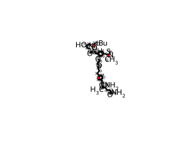 Cc1ncsc1-c1ccc(CNC(=O)[C@@H]2C[C@@H](O)CN2C(=O)CC(C)(C)C)c(OCCOCCCc2ccc(CO[C@H](C)[C@@H](N)CCC(N)=O)cc2)c1